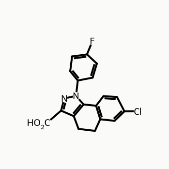 O=C(O)c1nn(-c2ccc(F)cc2)c2c1CCc1cc(Cl)ccc1-2